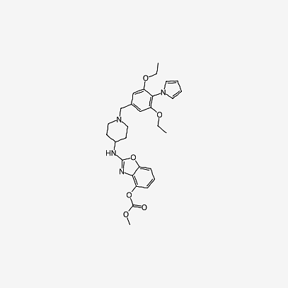 CCOc1cc(CN2CCC(Nc3nc4c(OC(=O)OC)cccc4o3)CC2)cc(OCC)c1-n1cccc1